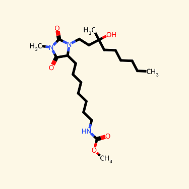 CCCCCCC(C)(O)CCN1C(=O)N(C)C(=O)C1CCCCCCCNC(=O)OC